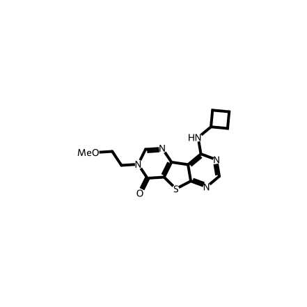 COCCn1cnc2c(sc3ncnc(NC4CCC4)c32)c1=O